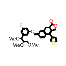 COC[C@@H](OC)[C@@H](OC)c1cc(F)cc(OC=C2C=CC3=C(C2)CC2C(=O)OCC2=C3c2ccsc2)c1